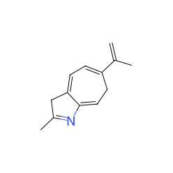 C=C(C)C1=CC=C2CC(C)=NC2=CC1